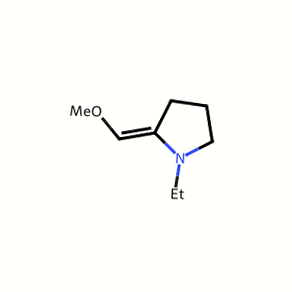 CCN1CCC/C1=C\OC